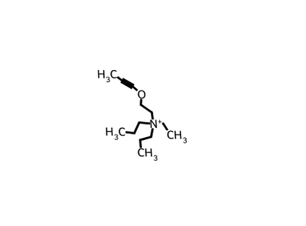 CC#COCC[N+](CC)(CCC)CCC